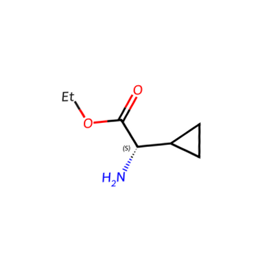 CCOC(=O)[C@@H](N)C1CC1